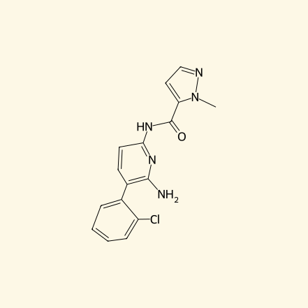 Cn1nccc1C(=O)Nc1ccc(-c2ccccc2Cl)c(N)n1